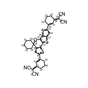 N#CC(C#N)=C1C=C(c2cc3c(s2)-c2sc4cc(C5=CC(=C(C#N)C#N)CCC5)sc4c2OC32CCCCC2)CCC1